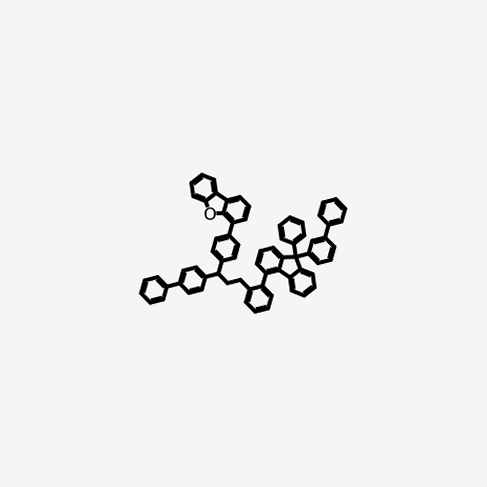 c1ccc(-c2ccc(C(CCc3ccccc3-c3cccc4c3-c3ccccc3C4(c3ccccc3)c3cccc(-c4ccccc4)c3)c3ccc(-c4cccc5c4oc4ccccc45)cc3)cc2)cc1